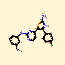 COc1cccc(Nc2nccc(-c3sc(N)nc3-c3ccc(F)cc3)n2)c1